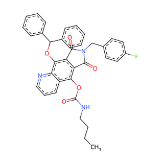 CCCCNC(=O)Oc1c2c(c(OC(c3ccccc3)c3ccccc3)c3ncccc13)C(=O)N(Cc1ccc(F)cc1)C2=O